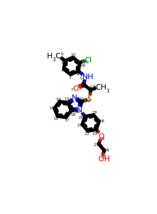 Cc1ccc(NC(=O)C(C)Sc2nc3ccccc3n2-c2ccc(OCCO)cc2)c(Cl)c1